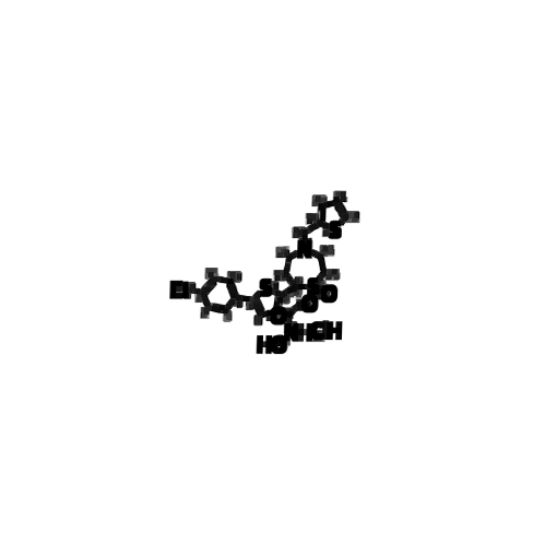 CCc1ccc(-c2ccc([C@@]3(CC(=O)NO)CCN(Cc4cccs4)CCS3(=O)=O)s2)cc1.Cl